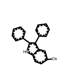 N#Cc1ccc2[nH]c(-c3ccccc3)c(-c3ccccc3)c2c1